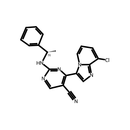 C[C@H](Nc1ncc(C#N)c(-c2cnc3c(Cl)cccn23)n1)c1ccccc1